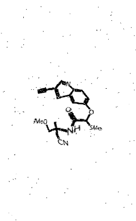 C#Cc1cnc2ccc(OC(SC)C(=O)NC(C)(C#N)COC)cc2c1